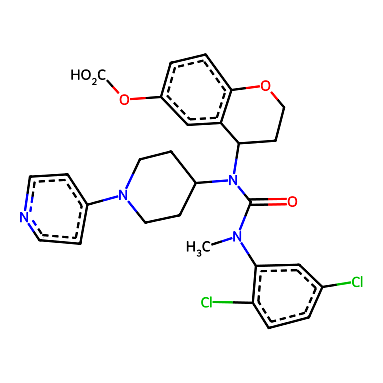 CN(C(=O)N(C1CCN(c2ccncc2)CC1)C1CCOc2ccc(OC(=O)O)cc21)c1cc(Cl)ccc1Cl